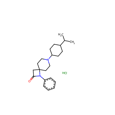 CC(C)C1CCC(N2CCC3(CC2)CC(=O)N3c2ccccc2)CC1.Cl